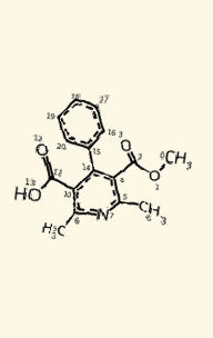 COC(=O)c1c(C)nc(C)c(C(=O)O)c1-c1ccccc1